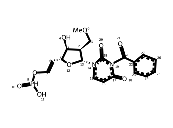 COC[C@@H]1[C@H](O)[C@@H](/C=C/O[PH](=O)O)O[C@H]1n1ccc(=O)n(C(=O)c2ccccc2)c1=O